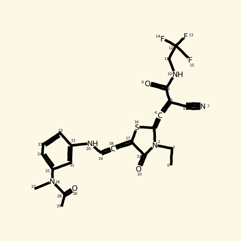 CCn1c(=C=C(C#N)C(=O)NCC(F)(F)F)sc(=C=CNc2cccc(N(C)C(C)=O)c2)c1=O